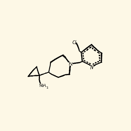 NC1(C2CCN(c3ncccc3Cl)CC2)CC1